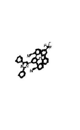 N#Cc1ccccc1-c1cc(-c2cc(-c3ccccc3)nc(-c3ccccc3)n2)cc(-c2ccccc2C#N)c1-n1c2ccccc2c2cc(C(F)(F)F)ccc21